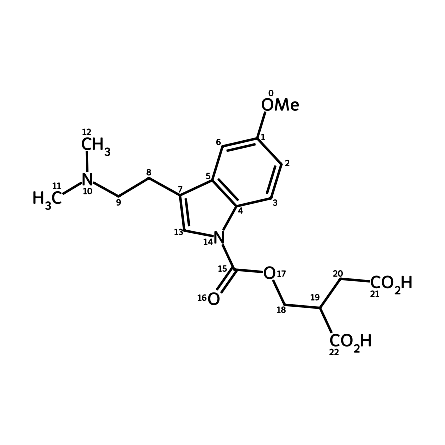 COc1ccc2c(c1)c(CCN(C)C)cn2C(=O)OCC(CC(=O)O)C(=O)O